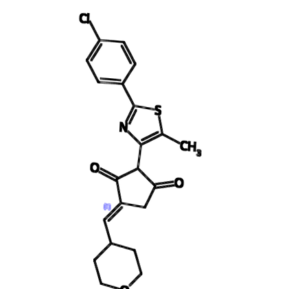 Cc1sc(-c2ccc(Cl)cc2)nc1C1C(=O)C/C(=C\C2CCOCC2)C1=O